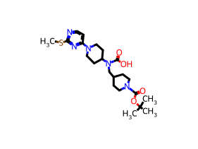 CSc1nccc(N2CCC(N(CC3CCN(C(=O)OC(C)(C)C)CC3)C(=O)O)CC2)n1